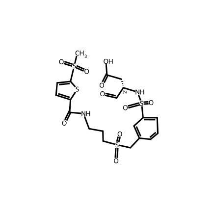 CS(=O)(=O)c1ccc(C(=O)NCCCS(=O)(=O)Cc2cccc(S(=O)(=O)N[C@H](C=O)CC(=O)O)c2)s1